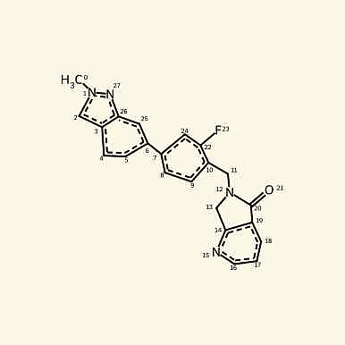 Cn1cc2ccc(-c3ccc(CN4Cc5ncccc5C4=O)c(F)c3)cc2n1